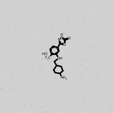 Cl.NC1CCC(CNc2cc(-c3n[nH]c(=O)o3)ccc2C(F)(F)F)CC1